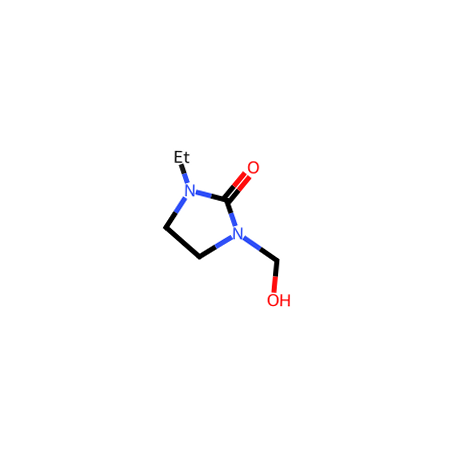 CCN1CCN(CO)C1=O